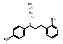 Cl.Cl.Cl.Cl.Nc1ccc(NCCc2cccnc2N)cc1